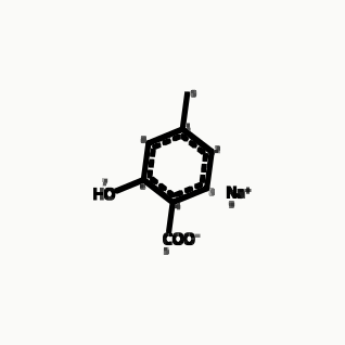 Cc1ccc(C(=O)[O-])c(O)c1.[Na+]